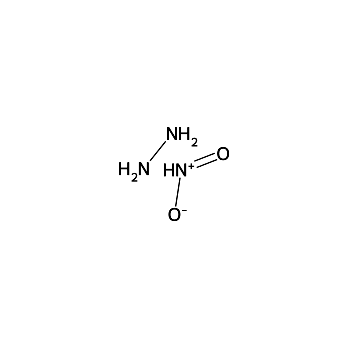 NN.O=[NH+][O-]